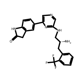 N[C@@H](CNc1cncc(-c2ccc3c(c2)CC(=O)N3)n1)Cc1ccccc1C(F)(F)F